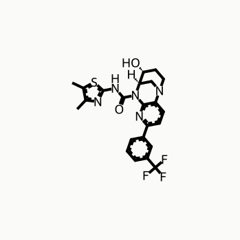 Cc1nc(NC(=O)N2c3nc(-c4cccc(C(F)(F)F)c4)ccc3N3CC[C@@H](O)[C@H]2C3)sc1C